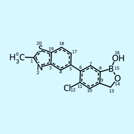 Cc1nc2cc(-c3cc4c(cc3Cl)COB4O)ccc2s1